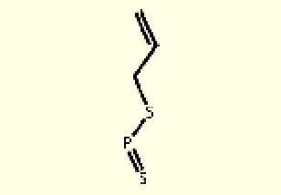 C=CCSP=S